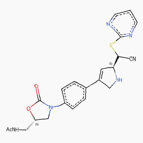 CC(=O)NC[C@H]1CN(c2ccc(C3=C[C@@H](C(C#N)Sc4ncccn4)NC3)cc2)C(=O)O1